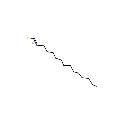 CCCCCCCCCCCCC/C=C/F